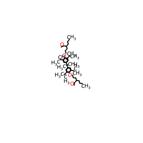 CCCCC(CCCOc1c(C(C)C)cc(C(C)(C)c2cc(C(C)C)c(OCCCC(CCCC)C3CO3)c(C(C)C)c2)cc1C(C)C)C1CO1